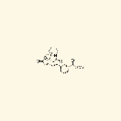 COC(=O)c1cccc(C2=CC3=CC(=O)O[C@@]34C[C@@H]2N2CCCC[C@@H]24)c1